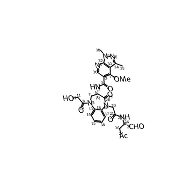 COc1c(C(=O)N[C@H]2CN(C(=O)CO)c3ccccc3N(CC(=O)N[C@H](C=O)CC(C)=O)C2=O)cnc2c1c(C)nn2C